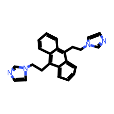 c1ccc2c(CCn3ccnc3)c3ccccc3c(CCn3ccnc3)c2c1